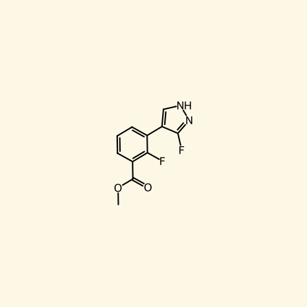 COC(=O)c1cccc(-c2c[nH]nc2F)c1F